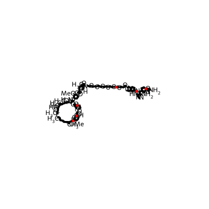 CO[C@H]1C[C@@H]2CCC[C@@](O)(O2)C(=O)C(=O)N2CCCC[C@H]2C(=O)O[C@H]([C@H](N)C[C@@H]2CC[C@@H](OC(=O)N3CCC(C)(C(=O)NCCOCCOCCOCCOCCOCCOCCC(=O)N4CCc5cc(CNc6ncnc(N)c6C(=N)c6ccc7oc(N)nc7c6)ccc5C4)CC3)[C@H](OC)C2)C[C@@H](O)[C@H](C)/C=C(\C)[C@@H](O)[C@@H](O)C(=O)[C@H](C)C[C@H](C)/C=C/C=C/C=C/1C